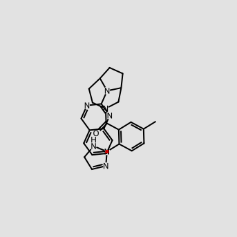 Cc1ccc(N2N=CCN2)c(C(=O)N2CCC3CCC(C2)N3c2ncc3ccccc3n2)c1